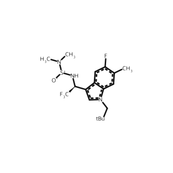 Cc1cc2c(cc1F)c([C@H](N[S+]([O-])N(C)C)C(F)(F)F)cn2CC(C)(C)C